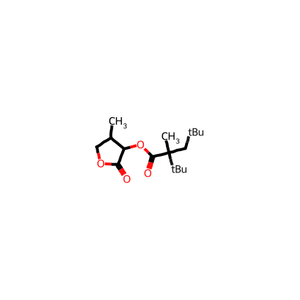 CC1COC(=O)C1OC(=O)C(C)(CC(C)(C)C)C(C)(C)C